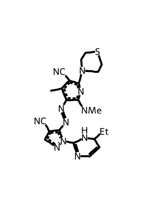 CCC1C=CN=C(n2ncc(C#N)c2/N=N/c2c(NC)nc(N3CCSCC3)c(C#N)c2C)N1